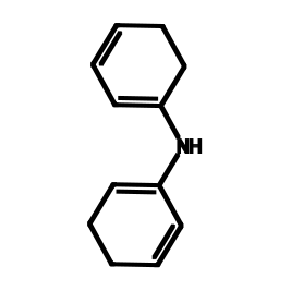 C1=CCCC(NC2=CCCC=C2)=C1